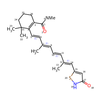 CNC(=O)C1=C(/C=C/C(C)=C/C=C/C(C)=C/c2cc(=O)[nH]s2)C(C)(C)CCC1